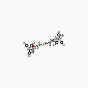 COc1ccc(C2=N[C@H](c3ccc(Cl)cc3)[C@H](c3ccc(Cl)cc3)N2C(=O)N2CCN(CC(=O)NCCOCCOCCNC(=O)CN3CCN(C(=O)N4C(c5ccc(OC)cc5OC(C)C)=N[C@H](c5ccc(Cl)cc5)[C@@H]4c4ccc(Cl)cc4)CC3=O)C(=O)C2)c(OC(C)C)c1